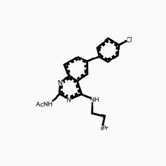 CC(=O)Nc1nc(NCCC(C)C)c2cc(-c3ccc(Cl)cc3)ccc2n1